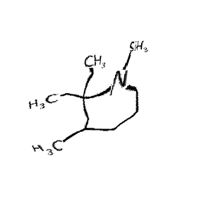 CC1CCN([SiH3])C1(C)C